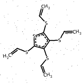 C=CSc1sc(SC=C)c(SC=C)c1SC=C